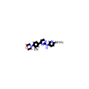 CC(=O)Nc1ccc(Nc2nccc(-c3ccc(N4CCOCC4)c(C#N)c3)n2)cn1